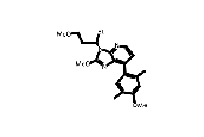 CCC(CCOC)n1c(OC)nc2c(-c3cc(C)c(OC)cc3C)ccnc21